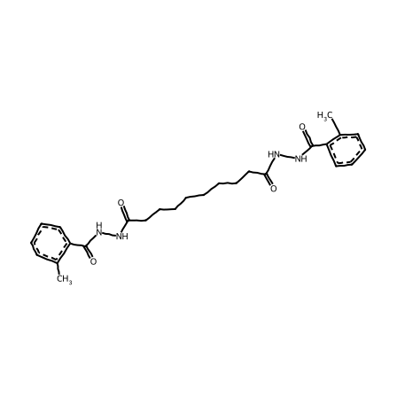 Cc1ccccc1C(=O)NNC(=O)CCCCCCCCC(=O)NNC(=O)c1ccccc1C